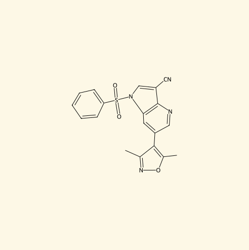 Cc1noc(C)c1-c1cnc2c(C#N)cn(S(=O)(=O)c3ccccc3)c2c1